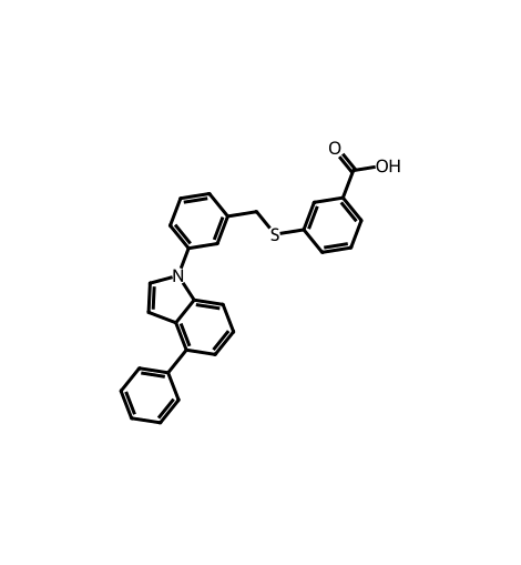 O=C(O)c1cccc(SCc2cccc(-n3ccc4c(-c5ccccc5)cccc43)c2)c1